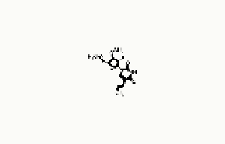 C/C=C/c1cn([C@@H]2O[C@H](COC)C(OC)[C@@H]2F)c(=O)[nH]c1=O